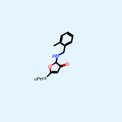 CCCCCC1=CC(=O)C(NCc2ccccc2C)O1